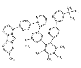 COc1cc(-c2ccccc2-c2ccc(-c3cccc4c3oc3nc(C)ccc34)nc2)cc(-c2c(C)c(C)c(C)c(C)c2-c2ccc(-c3cc(C(C)(C)C)ccn3)cc2)c1